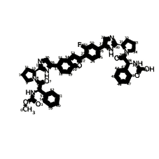 COC(=O)N[C@@H](C(=O)N1CCC[C@H]1c1ncc(-c2ccc3oc(-c4ccc(-c5cnc([C@@H]6CCCN6C(=O)[C@H](NC(=O)O)c6ccccc6)[nH]5)cc4F)cc3c2)[nH]1)c1ccccc1